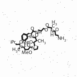 CC[C@@H]([C@@H](CC(=O)N1CCC[C@H]1[C@H](OC)[C@@H](C)C(=O)N[C@@H](Cc1ccccc1)C(=O)NCCCOC(=O)[C@H](C)NC(=O)CCN)OC)N(C)C(=O)CC(C)C